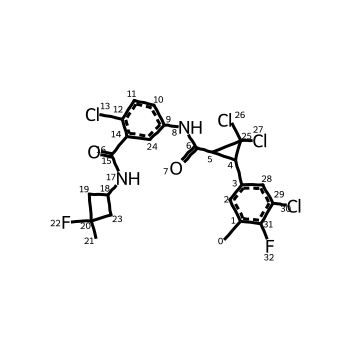 Cc1cc(C2C(C(=O)Nc3ccc(Cl)c(C(=O)NC4CC(C)(F)C4)c3)C2(Cl)Cl)cc(Cl)c1F